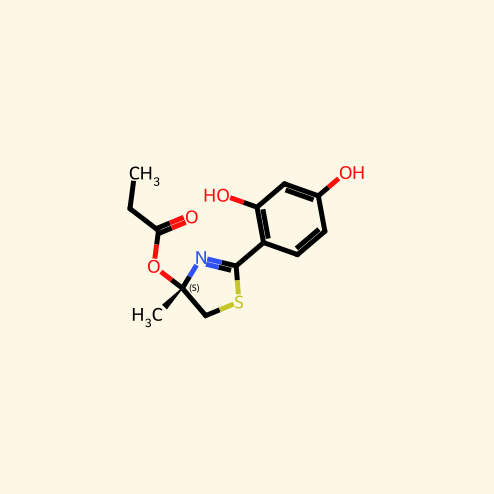 CCC(=O)O[C@@]1(C)CSC(c2ccc(O)cc2O)=N1